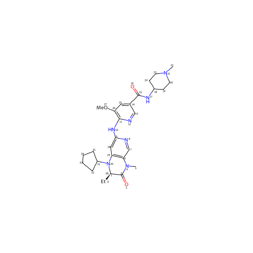 CC[C@@H]1C(=O)N(C)c2cnc(Nc3ncc(C(=O)NC4CCN(C)CC4)cc3OC)cc2N1C1CCCC1